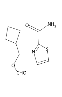 NC(=O)c1nccs1.O=COCC1CCC1